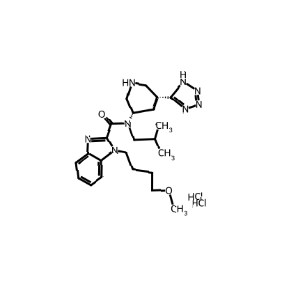 COCCCCn1c(C(=O)N(CC(C)C)[C@@H]2CNC[C@H](c3nnn[nH]3)C2)nc2ccccc21.Cl.Cl